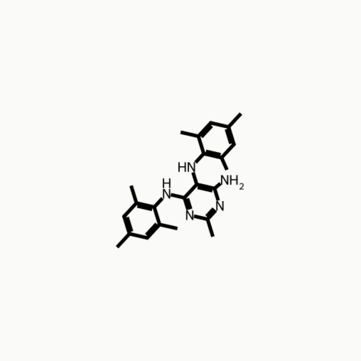 Cc1cc(C)c(Nc2nc(C)nc(N)c2Nc2c(C)cc(C)cc2C)c(C)c1